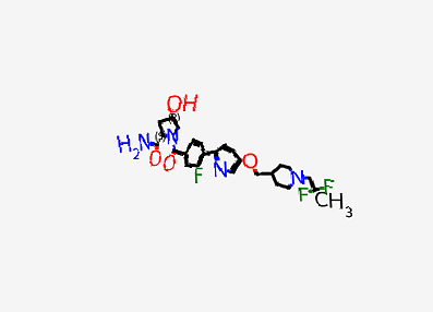 CC(F)(F)CN1CCC(COc2ccc(-c3ccc(C(=O)N4C[C@H](O)C[C@H]4C(N)=O)cc3F)nc2)CC1